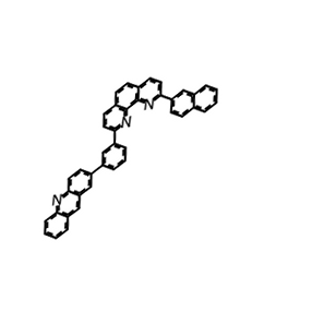 c1cc(-c2ccc3nc4ccccc4cc3c2)cc(-c2ccc3ccc4ccc(-c5ccc6ccccc6c5)nc4c3n2)c1